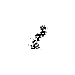 CCCCc1cn(-c2c(C)ccn2CC)c(=O)n1Cc1cc(-c2cccc(-c3nnn[nH]3)c2)ccn1